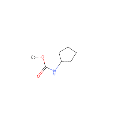 [CH2]COC(=O)NC1CCCC1